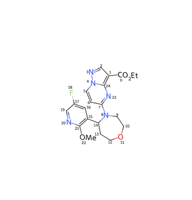 CCOC(=O)c1cnn2ccc(N3CCOCCC3c3cc(F)cnc3OC)nc12